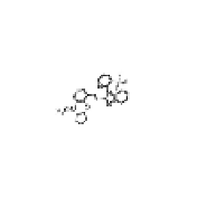 COc1cccc(C=Cc2nc3ccccc3n2-c2ncccc2C(F)(F)F)c1OC1CCCC1